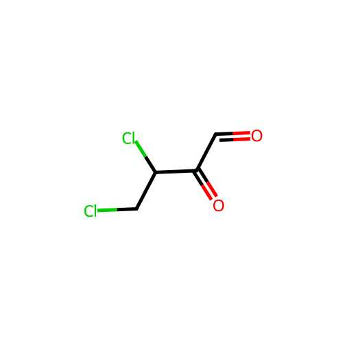 O=CC(=O)C(Cl)CCl